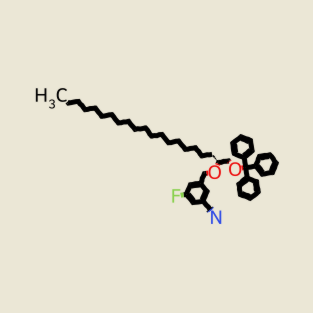 CCCCCCCCCCCCCCCCCCC[C@H](COC(c1ccccc1)(c1ccccc1)c1ccccc1)OCc1cc(F)cc(C#N)c1